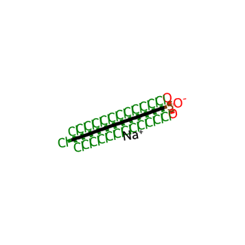 O=S(=O)([O-])C(Cl)(Cl)C(Cl)(Cl)C(Cl)(Cl)C(Cl)(Cl)C(Cl)(Cl)C(Cl)(Cl)C(Cl)(Cl)C(Cl)(Cl)C(Cl)(Cl)C(Cl)(Cl)C(Cl)(Cl)C(Cl)(Cl)Cl.[Na+]